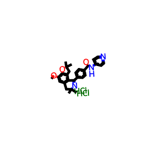 COc1cc2c(c3c1OC(C)(C)C3)C(c1ccc(C(=O)Nc3ccncc3)cc1)=NC(C)(C)C2.Cl.Cl